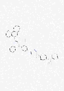 C/C=C(\C=C/Cc1ccc(N(C)C2=CC=CCC2)cc1)c1ccc(N(/C(C)=C/c2c(C)c3ccccc3c3ccccc23)c2ccccc2)cc1